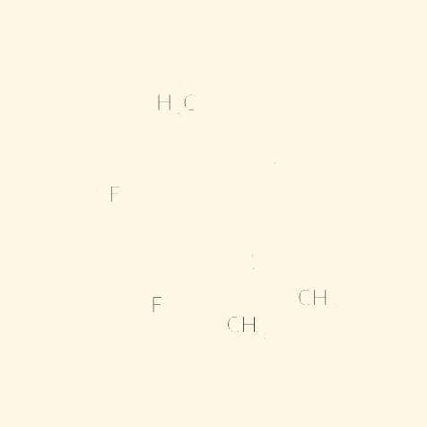 CC1=CCC(C)(C)C(F)=C1F